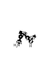 CC(C)(C)OC(=O)N1CCNCC1c1ccc(-c2nc(C3(c4ccc(-c5cnc(N)nc5)cc4)CCC3)no2)cn1